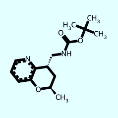 C[C@@H]1C[C@@H](CNC(=O)OC(C)(C)C)c2ncccc2O1